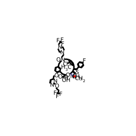 C=Nc1sc(-c2ccc(F)cc2)c2c1/C(=N\C)O[C@@H](C(=O)O)Cc1cc(ccc1OCc1ccnc(OCCC(F)(F)F)n1)CC(=O)N(CCN1CCN(CC(F)(F)F)CC1)Cc1ccc-2c(C)c1Cl